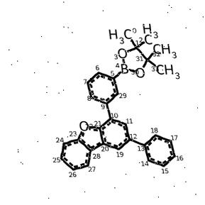 CC1(C)OB(c2cccc(-c3cc(-c4ccccc4)cc4c3oc3ccccc34)c2)OC1(C)C